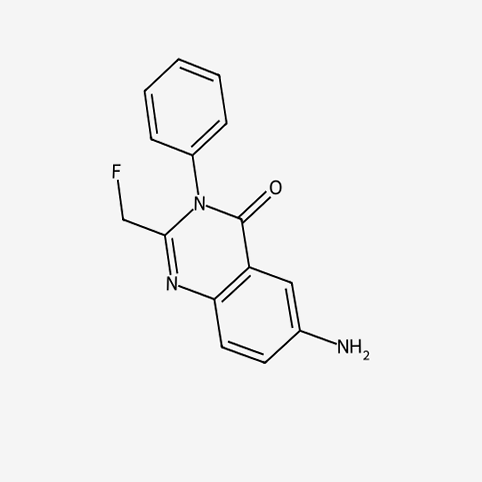 Nc1ccc2nc(CF)n(-c3ccccc3)c(=O)c2c1